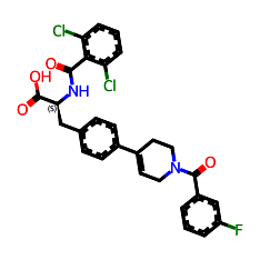 O=C(N[C@@H](Cc1ccc(C2=CCN(C(=O)c3cccc(F)c3)CC2)cc1)C(=O)O)c1c(Cl)cccc1Cl